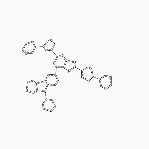 c1ccc(-c2ccc(-c3nc4c(-c5ccc6c(c5)c5ccccc5n6-c5ccccc5)cc(-c5cccc(-c6cccnc6)c5)cc4o3)cc2)cc1